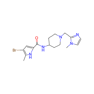 Cc1[nH]c(C(=O)NC2CCN(Cc3nccn3C)CC2)cc1Br